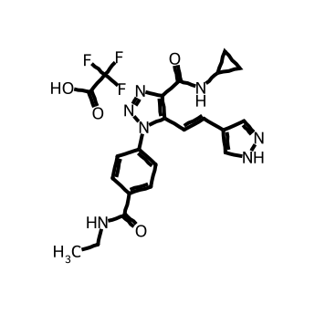 CCNC(=O)c1ccc(-n2nnc(C(=O)NC3CC3)c2/C=C/c2cn[nH]c2)cc1.O=C(O)C(F)(F)F